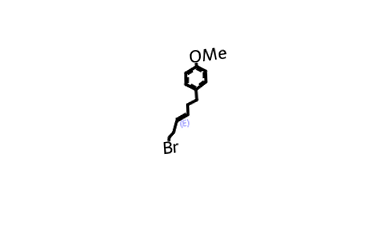 COc1ccc(CC/C=C/CCBr)cc1